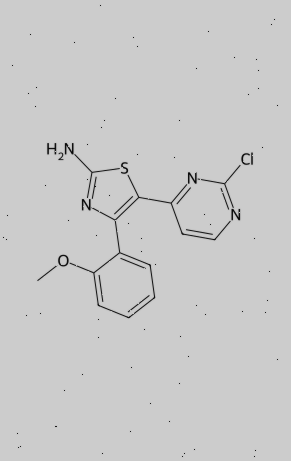 COc1ccccc1-c1nc(N)sc1-c1ccnc(Cl)n1